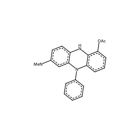 CNc1ccc2c(c1)N(c1ccccc1)c1cccc(OC(C)=O)c1N2